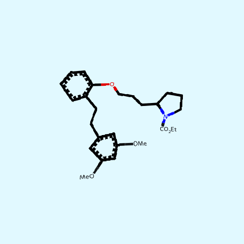 CCOC(=O)N1CCCC1CCCOc1ccccc1CCc1cc(OC)cc(OC)c1